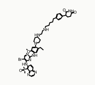 CCc1cc(Nc2ncc(Br)c(Nc3ccc4nccnc4c3P(C)(C)=O)n2)c(OC)cc1N1CCC(NCCNCCCCCc2ccc(C3CCC(=O)NC3=O)cc2)CC1